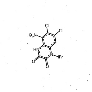 CC(C)n1c(=O)c(=O)[nH]c2c([N+](=O)[O-])c(Cl)c(Cl)cc21